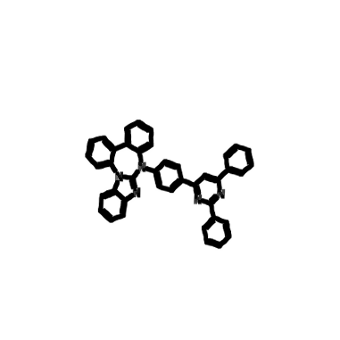 c1ccc(-c2cc(-c3ccc(N4c5ccccc5-c5ccccc5-n5c4nc4ccccc45)cc3)nc(-c3ccccc3)n2)cc1